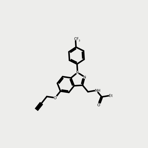 C#CCOc1ccc2c(c1)c(CNC(=O)CC)nn2-c1ccc(C(F)(F)F)cc1